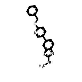 CNc1nc2ccc(-c3ccc(OCc4ccccc4)nc3)cc2s1